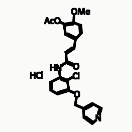 COc1ccc(C=CC(=O)Nc2cccc(OCc3ccncc3)c2Cl)cc1OC(C)=O.Cl